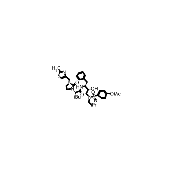 CC[C@H](C)[C@@H](C(=O)N[C@@H](Cc1ccccc1)[C@H](O)CN(CC(C)C)S(=O)(=O)c1ccc(OC)cc1)N1CCN(Cc2csc(C)n2)C1=O